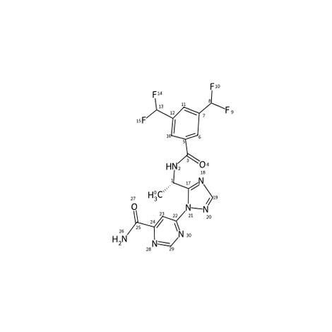 C[C@H](NC(=O)c1cc(C(F)F)cc(C(F)F)c1)c1ncnn1-c1cc(C(N)=O)ncn1